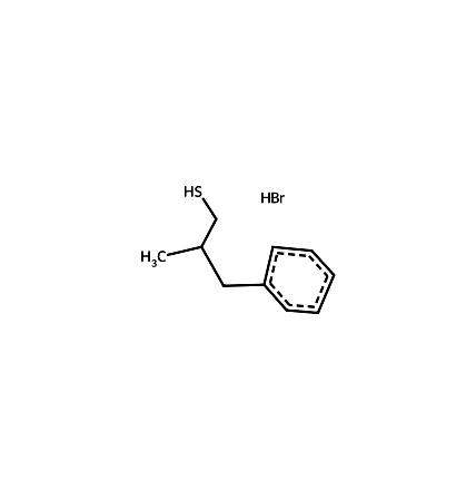 Br.CC(CS)Cc1ccccc1